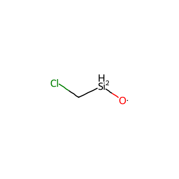 [O][SiH2]CCl